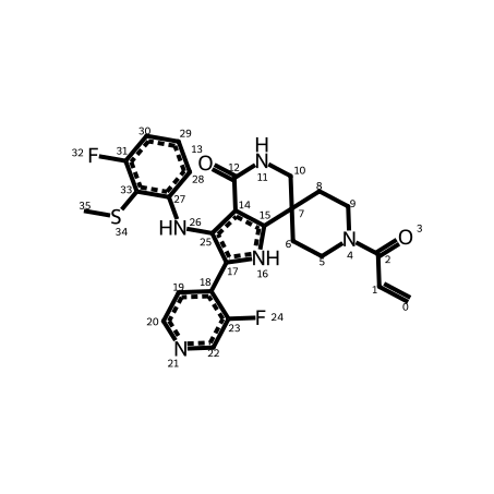 C=CC(=O)N1CCC2(CC1)CNC(=O)c1c2[nH]c(-c2ccncc2F)c1Nc1cccc(F)c1SC